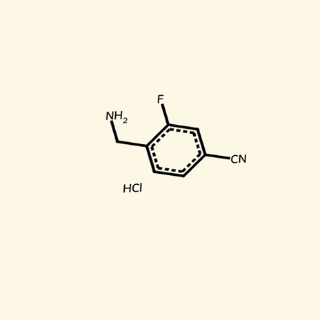 Cl.N#Cc1ccc(CN)c(F)c1